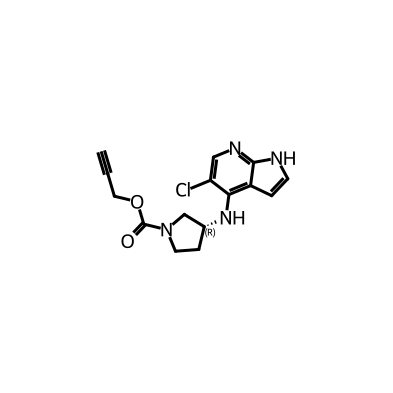 C#CCOC(=O)N1CC[C@@H](Nc2c(Cl)cnc3[nH]ccc23)C1